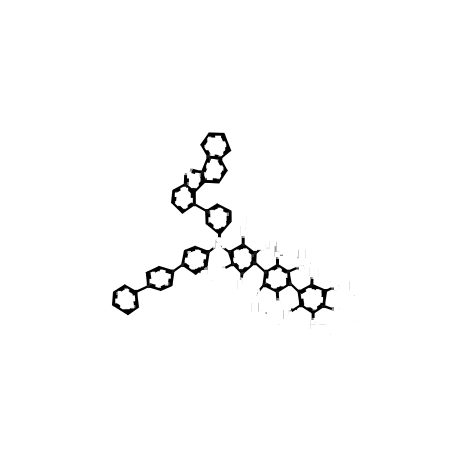 Bc1c(B)c(B)c(-c2c(B)c(B)c(-c3c(B)c(B)c(N(c4ccc(-c5ccc(-c6ccccc6)cc5)cc4)c4cccc(-c5cccc6oc7c8ccccc8ccc7c56)c4)c(B)c3B)c(B)c2B)c(B)c1B